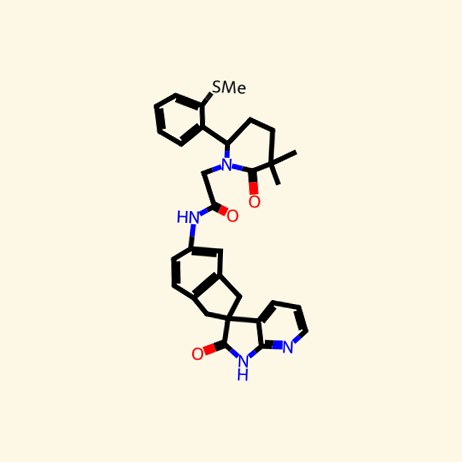 CSc1ccccc1C1CCC(C)(C)C(=O)N1CC(=O)Nc1ccc2c(c1)CC1(C2)C(=O)Nc2ncccc21